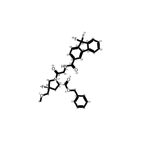 COC[C@@]1(F)C[C@@H](C(=O)OCc2ccccc2)N(C(=O)CNC(=O)c2ccc3c(c2)-c2ccccc2C3(F)F)C1